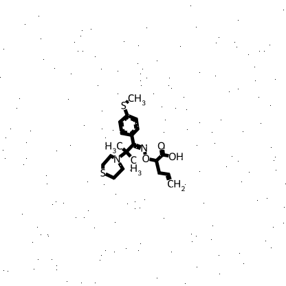 C=CCC(ON=C(c1ccc(SC)cc1)C(C)(C)N1CCSCC1)C(=O)O